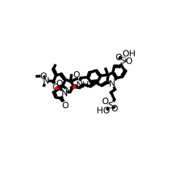 C=C1N=C(/C=C/C=C/C=C2/N(CCCS(=O)(=O)O)c3ccc(S(=O)(=O)O)cc3C2(C)c2ccc(C(=O)NCCN3C(=O)C=CC3=O)cc2)C(C)(C)/C1=C/C(=C\C)C(=O)N(C)OC